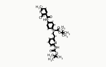 Cc1ccc(C(=O)Nc2ccc(N(CCc3cccc(NC(=O)OC(C)(C)C)n3)C(=O)OC(C)(C)C)cc2)c(Cl)n1